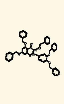 O=C1c2c(OCc3ccccc3)cc(OCc3ccccc3)cc2O[C@H](c2ccc(OCc3ccccc3)c(OCc3ccccc3)c2)[C@@H]1OCc1ccccc1